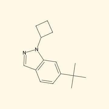 CC(C)(C)c1ccc2cnn(C3CCC3)c2c1